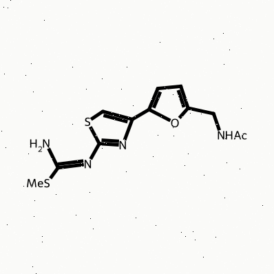 CS/C(N)=N/c1nc(-c2ccc(CNC(C)=O)o2)cs1